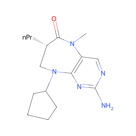 CCC[C@H]1CN(C2CCCC2)c2nc(N)ncc2N(C)C1=O